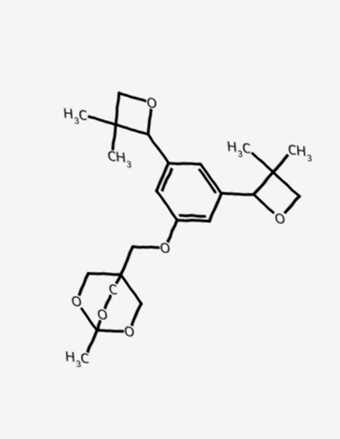 CC12OCC(COc3cc(C4OCC4(C)C)cc(C4OCC4(C)C)c3)(CO1)CO2